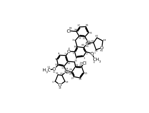 COc1ccc(Oc2ccc(OC)c(OC3CCOC3)c2Cc2c(Cl)cccc2Cl)c(Cc2c(Cl)cccc2Cl)c1OC1CCOC1